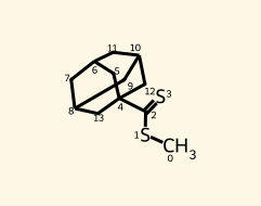 CSC(=S)C12CC3CC(CC(C3)C1)C2